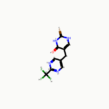 O=c1[nH]c(=S)[nH]cc1Cc1cnc(C(F)(F)F)nc1